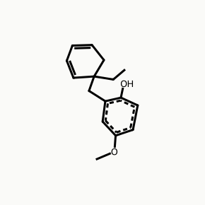 CCC1(Cc2cc(OC)ccc2O)C=CC=CC1